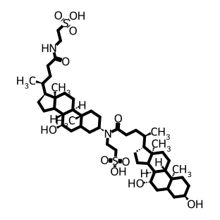 C[C@H](CCC(=O)N(CCS(=O)(=O)O)[C@H]1CC[C@]2(C)C(C1)C[C@@H](O)[C@@H]1C3CC[C@@H]([C@@H](C)CCC(=O)NCCS(=O)(=O)O)[C@]3(C)CC[C@H]12)[C@H]1CCC2[C@@H]3[C@@H](O)CC4C[C@H](O)CC[C@]4(C)[C@H]3CC[C@@]21C